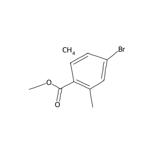 C.COC(=O)c1ccc(Br)cc1C